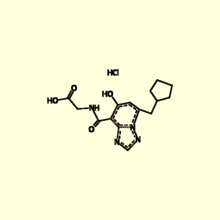 Cl.O=C(O)CNC(=O)c1c(O)cc(CC2CCCC2)n2ncnc12